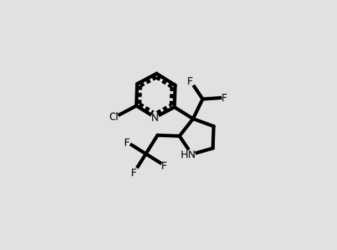 FC(F)C1(c2cccc(Cl)n2)CCNC1CC(F)(F)F